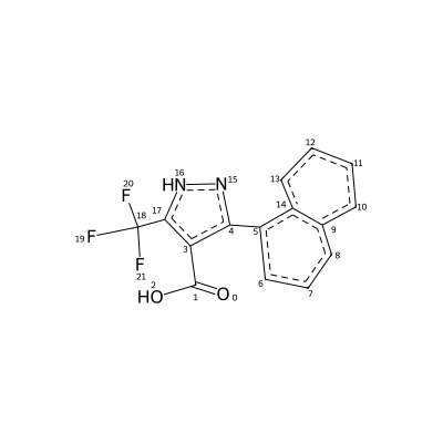 O=C(O)c1c(-c2cccc3ccccc23)n[nH]c1C(F)(F)F